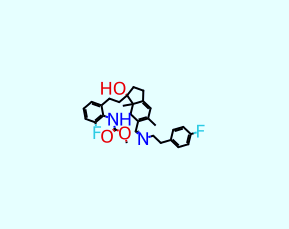 COC(=O)Nc1c(F)cccc1CCC1(O)CCC2=CC(C)=C(/C=N\CCc3ccc(F)cc3)CC21C